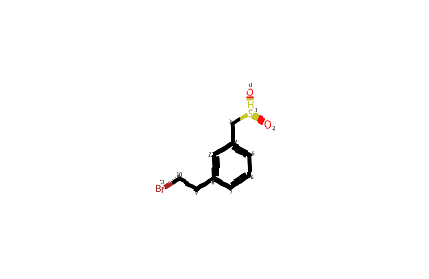 O=[SH](=O)Cc1cccc(CCBr)c1